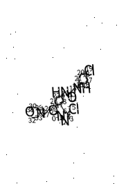 Cn1ncc(Cl)c1-c1cc(NC(=O)CNc2ccc(Cl)cc2)ccc1OCCN1CCOCC1